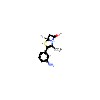 Nc1cccc(C2=C(C(=O)O)N3C(=O)C[C@H]3S2)c1